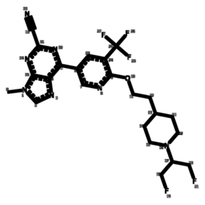 Cn1cnc2c(-c3cnc(OCCC4CCN(C(CF)CF)CC4)c(C(F)(F)F)c3)nc(C#N)nc21